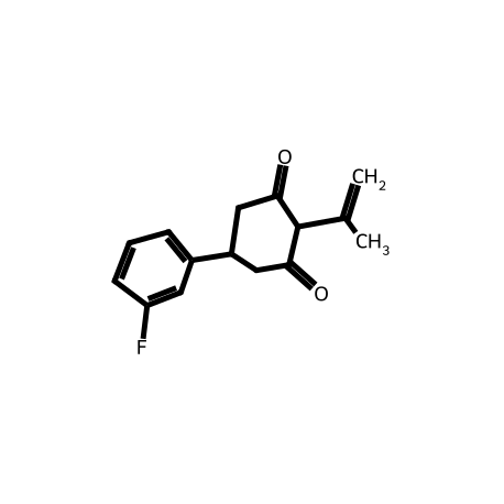 C=C(C)C1C(=O)CC(c2cccc(F)c2)CC1=O